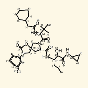 CCC[C@H](NC(=O)[C@@H]1C[C@]2(CN(c3cccc(Cl)c3)C(=O)O2)CN1C(=O)[C@@H](NC(=O)CC1CCCCC1)C(C)(C)C)C(O)C(=O)NC1CC1